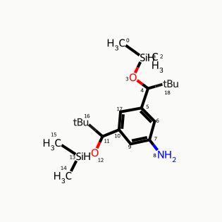 C[SiH](C)OC(c1cc(N)cc(C(O[SiH](C)C)C(C)(C)C)c1)C(C)(C)C